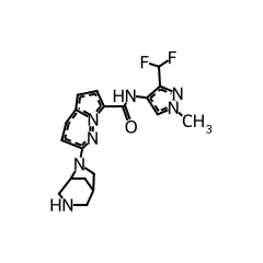 Cn1cc(NC(=O)c2ccc3ccc(N4CC5CNCC4C5)nn23)c(C(F)F)n1